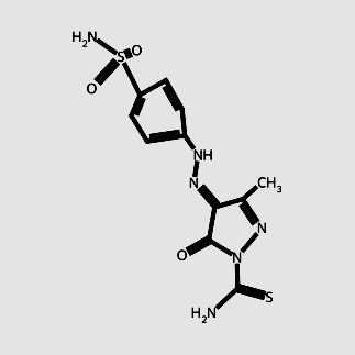 CC1=NN(C(N)=S)C(=O)/C1=N/Nc1ccc(S(N)(=O)=O)cc1